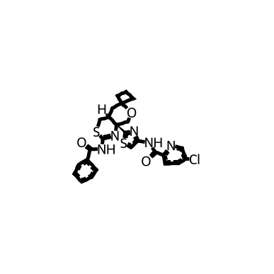 O=C(NC1=N[C@@]2(c3nc(NC(=O)c4ccc(Cl)cn4)cs3)COC3(CCC3)C[C@H]2CS1)c1ccccc1